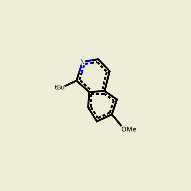 COc1ccc2c(C(C)(C)C)nccc2c1